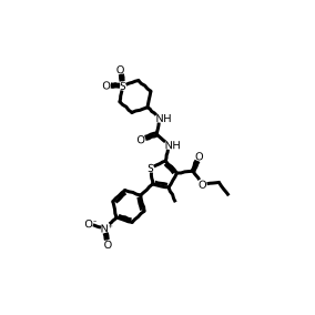 CCOC(=O)c1c(NC(=O)NC2CCS(=O)(=O)CC2)sc(-c2ccc([N+](=O)[O-])cc2)c1C